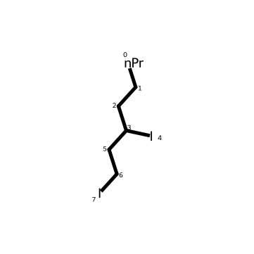 CCCCCC(I)CCI